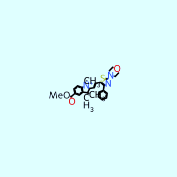 COC(=O)c1ccc2c(c1)C(C)(C)C(/C=C/c1sc(N3CCOCC3)nc1-c1ccccc1)=[N+]2C